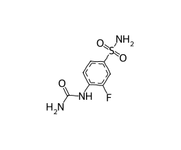 NC(=O)Nc1ccc(S(N)(=O)=O)cc1F